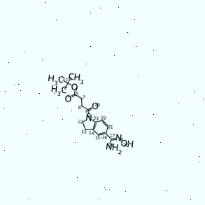 CC(C)(C)OC(=O)CCC(=O)N1CCc2cc(C(N)=NO)ccc21